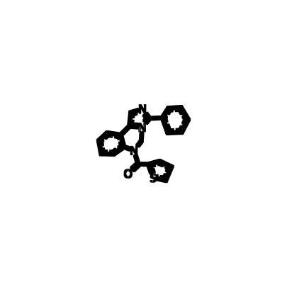 O=C(c1cccs1)N1Cn2c(cnc2-c2ccccc2)-c2ccccc21